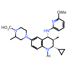 COc1cccc(N[C@H]2c3cc(N4CCN(C(=O)O)C(C)C4)ccc3N(C(C)=O)[C@@H](C3CC3)[C@@H]2C)n1